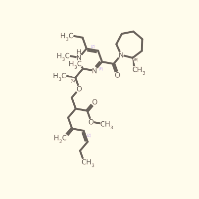 C=C(/C=C\CC)CC(CO[C@@H](C)C(C)/N=C(\C=C(\CC)NC)C(=O)N1CCCCC[C@H]1C)C(=O)OC